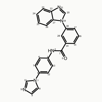 O=C(Nc1ccc(-n2ccnc2)cc1)c1cccc(-n2cnc3ccccc32)c1